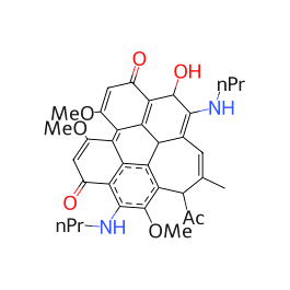 CCCNC1=C2C=C(C)C(C(C)=O)c3c(OC)c(NCCC)c4c5c3C2C2=C(C(=O)C=C(OC)C2=C5C(OC)=CC4=O)C1O